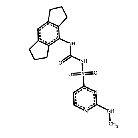 CNc1nccc(S(=O)(=O)NC(=O)Nc2c3c(cc4c2CCC4)CCC3)n1